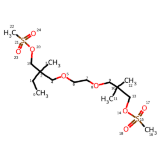 CCC(C)(COCCOCC(C)(C)COS(C)(=O)=O)COS(C)(=O)=O